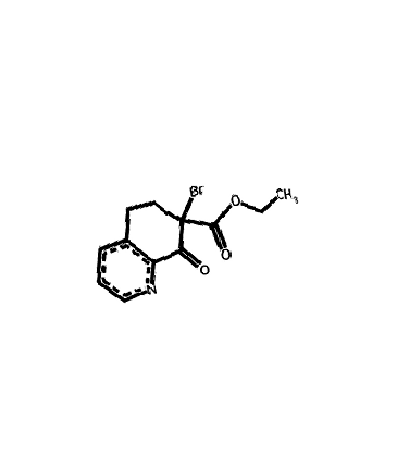 CCOC(=O)C1(Br)CCc2cccnc2C1=O